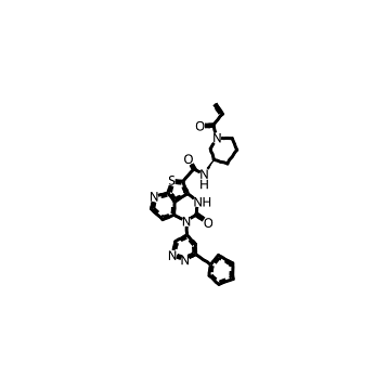 C=CC(=O)N1CCC[C@@H](NC(=O)c2sc3nccc4c3c2NC(=O)N4c2cnnc(-c3ccccc3)c2)C1